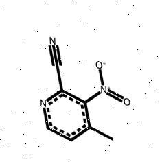 Cc1ccnc(C#N)c1[N+](=O)[O-]